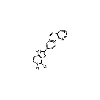 O=C1NCCc2[nH]c(-c3ccnc(/C=C\c4cncnc4)c3)cc21